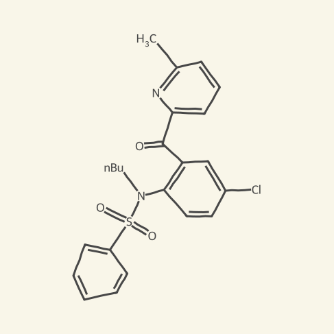 CCCCN(c1ccc(Cl)cc1C(=O)c1cccc(C)n1)S(=O)(=O)c1ccccc1